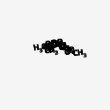 CCOC(=O)Cc1ccc2c(c1)oc1ccc(S(=O)(=O)N(C)C)cc12